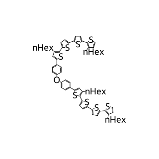 CCCCCCc1ccsc1-c1ccc(-c2ccc(-c3sc(-c4ccc(Oc5ccc(-c6cc(CCCCCC)c(-c7ccc(-c8ccc(-c9sccc9CCCCCC)s8)s7)s6)cc5)cc4)cc3CCCCCC)s2)s1